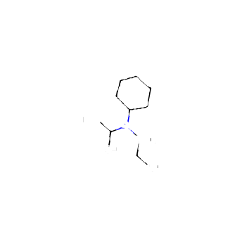 CC(C)N([SiH2]C[SiH3])C1CCCCC1